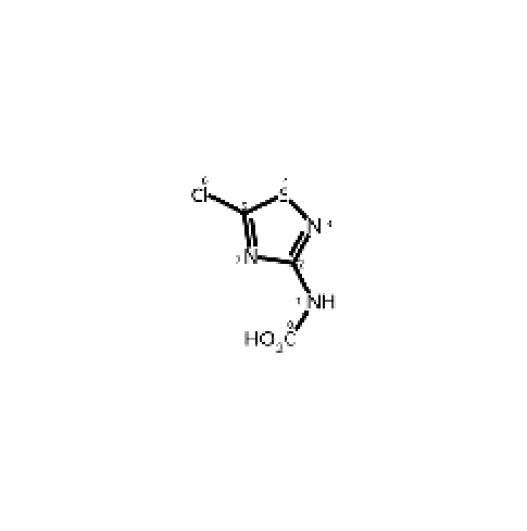 O=C(O)Nc1nsc(Cl)n1